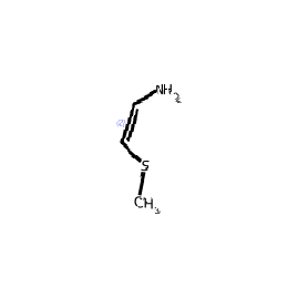 CS/C=C\N